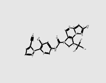 N#Cc1ccnn1-c1ncc(NC(=O)N2CC(C(F)(F)F)c3c2cnc2cc(Cl)nn32)cc1Cl